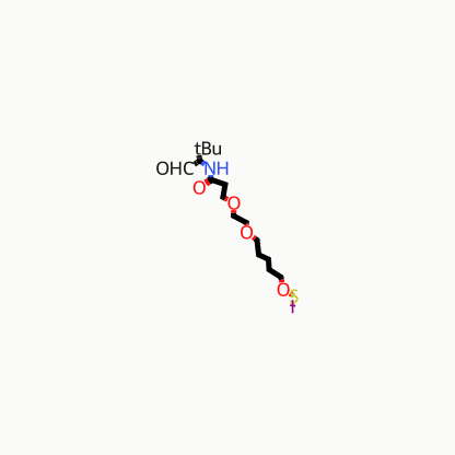 CC(C)(C)C(C=O)NC(=O)CCOCCOCCCCCOSI